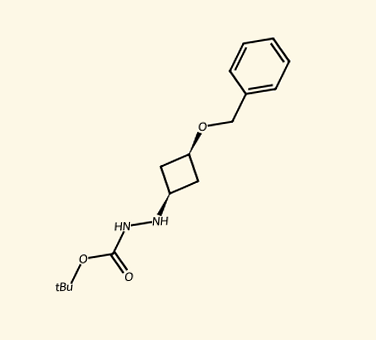 CC(C)(C)OC(=O)NN[C@H]1C[C@@H](OCc2ccccc2)C1